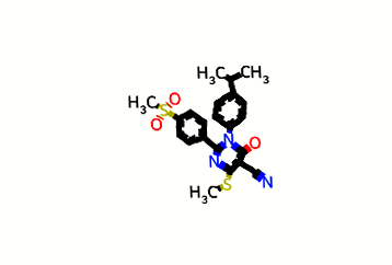 CSc1nc(-c2ccc(S(C)(=O)=O)cc2)n(-c2ccc(C(C)C)cc2)c(=O)c1C#N